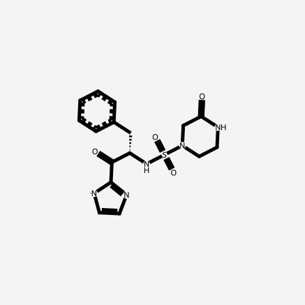 O=C1CN(S(=O)(=O)N[C@@H](Cc2ccccc2)C(=O)C2=NC=C[N]2)CCN1